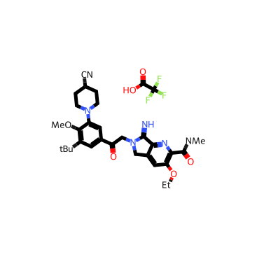 CCOc1cc2c(nc1C(=O)NC)C(=N)N(CC(=O)c1cc(N3CCC(C#N)CC3)c(OC)c(C(C)(C)C)c1)C2.O=C(O)C(F)(F)F